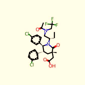 CC[C@@H](CN(CC(F)(F)F)C(C)=O)N1C(=O)[C@](C)(CC(=O)O)C[C@H](c2cccc(Cl)c2)[C@H]1c1ccc(Cl)cc1